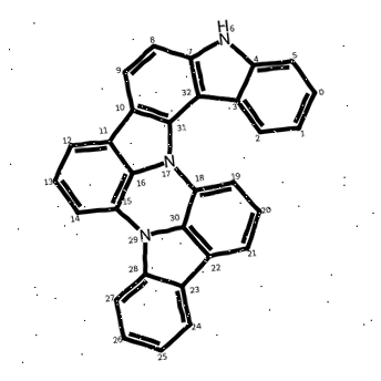 c1ccc2c(c1)[nH]c1ccc3c4cccc5c4n(c4cccc6c7ccccc7n5c64)c3c12